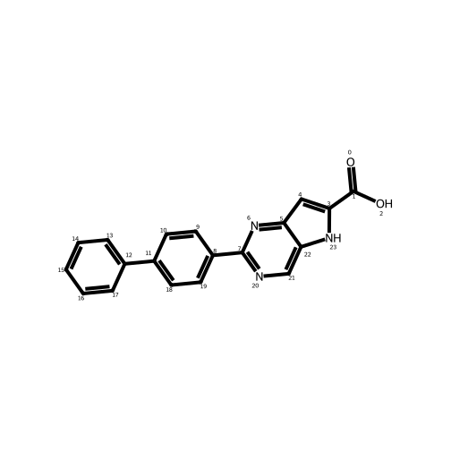 O=C(O)c1cc2nc(-c3ccc(-c4ccccc4)cc3)ncc2[nH]1